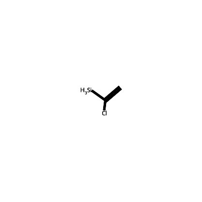 C=C([SiH3])Cl